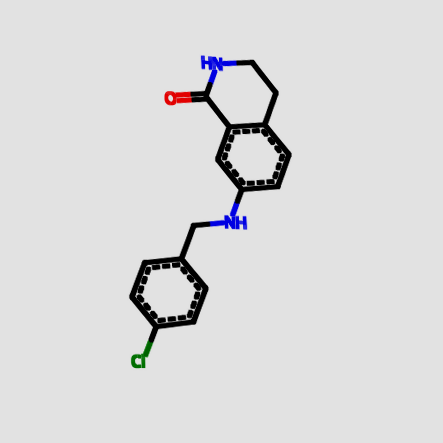 O=C1NCCc2ccc(NCc3ccc(Cl)cc3)cc21